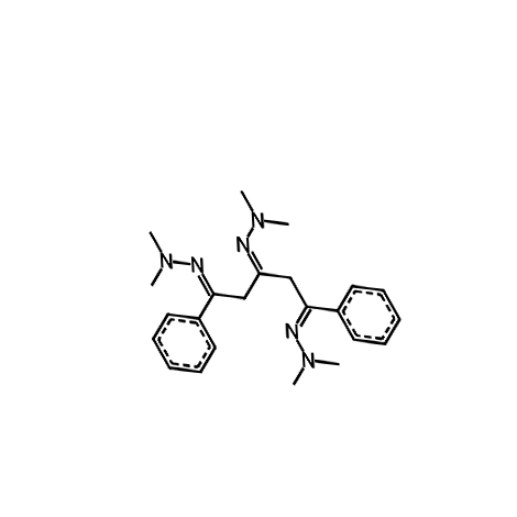 CN(C)N=C(CC(=NN(C)C)c1ccccc1)CC(=NN(C)C)c1ccccc1